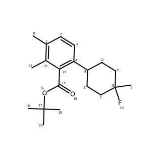 Cc1ccc(C2CCC(C)(F)CC2)c(C(=O)OC(C)(C)C)c1C